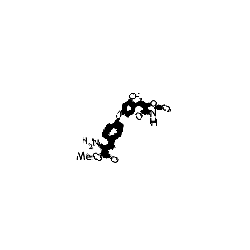 COC(=O)C(N)Cc1ccc(Oc2ccc(/C=C3/OC(=O)NC3=O)c(C(F)(F)F)c2)cc1